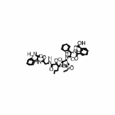 CCCC(NC(=O)[C@H](CS(=O)(=O)CC)NC(=O)[C@@H](NC(=O)c1ccccc1C(=O)O)C1CCCCC1)C(=O)C(=O)NCC(=O)N[C@H](C(N)=O)c1ccccc1